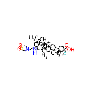 C=C(C)[C@@H]1CC[C@]2(NCCN3CCS(=O)(=O)CC3)CC[C@]3(C)[C@H](CCC4[C@@]5(C)CC=C(C6=CC[C@@](CF)(C(=O)O)CC6)C(C)(C)C5CC[C@]43C)C12